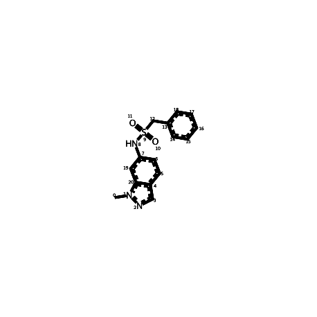 Cn1ncc2ccc(NS(=O)(=O)Cc3ccccc3)cc21